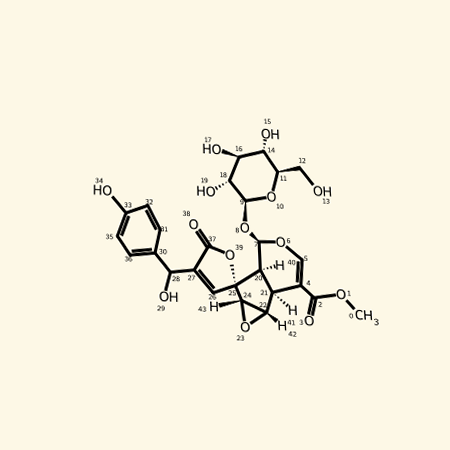 COC(=O)C1=CO[C@H](O[C@@H]2O[C@H](CO)[C@@H](O)[C@H](O)[C@H]2O)[C@H]2[C@@H]1[C@@H]1O[C@@H]1[C@@]21C=C(C(O)c2ccc(O)cc2)C(=O)O1